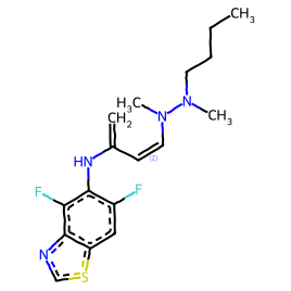 C=C(/C=C\N(C)N(C)CCCC)Nc1c(F)cc2scnc2c1F